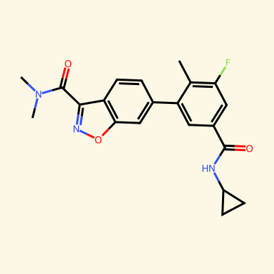 Cc1c(F)cc(C(=O)NC2CC2)cc1-c1ccc2c(C(=O)N(C)C)noc2c1